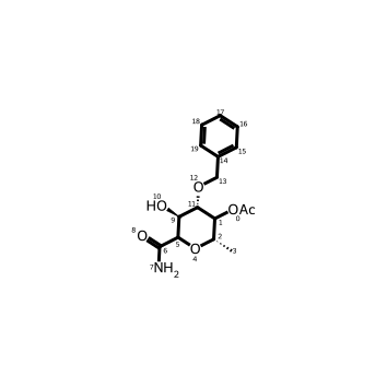 CC(=O)OC1[C@H](C)OC(C(N)=O)[C@@H](O)[C@@H]1OCc1ccccc1